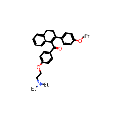 CCN(CC)CCOc1ccc(C(=O)C2=C(c3ccc(OC(C)C)cc3)CCc3ccccc32)cc1